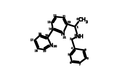 CC(NCc1ccccc1)c1cccc(-c2ccccn2)n1